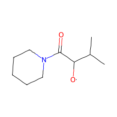 CC(C)C([O])C(=O)N1CCCCC1